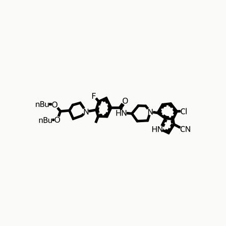 CCCCOC(OCCCC)C1CCN(c2c(C)cc(C(=O)NC3CCN(c4ccc(Cl)c5c(C#N)c[nH]c45)CC3)cc2F)CC1